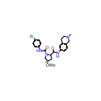 CO[C@@H]1CC(C(=O)Nc2ccc3c(c2)CCN(C)C3)N(C(=O)Nc2ccc(Br)cc2)C1